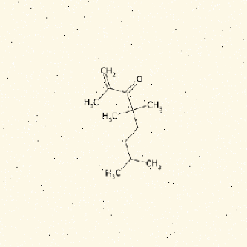 C=C(C)C(=O)C(C)(C)CCC(C)C